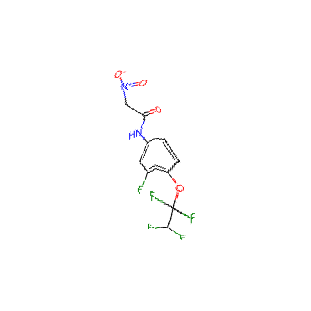 O=C(C[N+](=O)[O-])Nc1ccc(OC(F)(F)C(F)F)c(F)c1